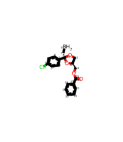 BC[C@]1(c2ccc(Cl)cc2)OC[C@@H](COC(=O)c2ccccc2)O1